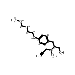 C#CCN(C)C(CO)Cc1ccc(OCCOCOC)cc1